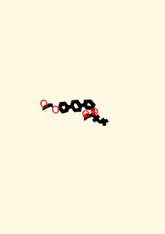 CC(C)(C)CC(C)(C)C(Oc1cccc(C2=CCC(c3ccc(OCC4CO4)cc3)CC2)c1)C1CO1